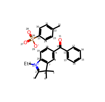 CC[N+]1=C(C)C(C)(C)c2cc(C(=O)c3ccccc3)ccc21.Cc1ccc(S(=O)(=O)[O-])cc1